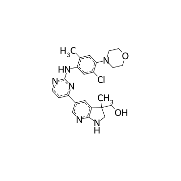 Cc1cc(N2CCOCC2)c(Cl)cc1Nc1nccc(-c2cnc3c(c2)C(C)(CO)CN3)n1